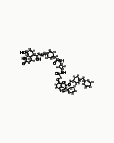 O=C(COc1cccc([C@](O)(C(=O)OCC2CCN(Cc3ccccc3)CC2)c2ccccc2)c1)NC1CC(NC(=O)Cc2ccc(CNC[C@H](O)c3ccc(O)c4[nH]c(=O)ccc34)cc2)C1